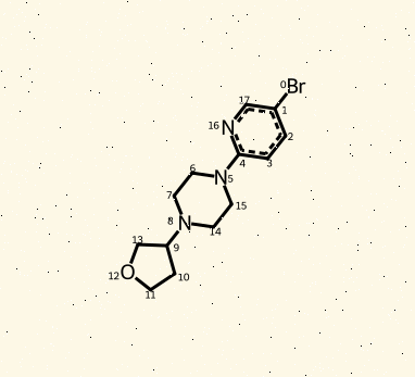 Brc1ccc(N2CCN(C3CCOC3)CC2)nc1